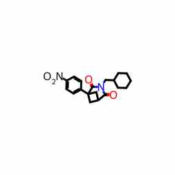 O=C1C2CC(c3ccc([N+](=O)[O-])cc3)(C2)C(=O)N1CC1CCCCC1